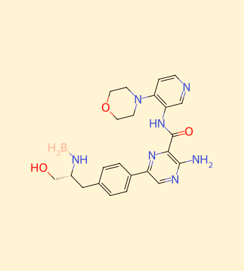 BN[C@@H](CO)Cc1ccc(-c2cnc(N)c(C(=O)Nc3cnccc3N3CCOCC3)n2)cc1